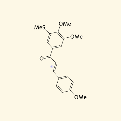 COc1ccc(/C=C/C(=O)c2cc(OC)c(OC)c(SC)c2)cc1